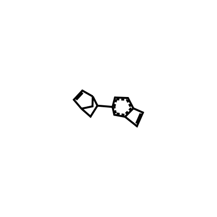 C1=Cc2cc(C3CC4C=CC3C4)ccc21